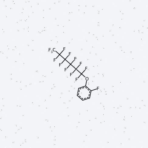 Fc1ccccc1OC(F)(F)C(F)(F)C(F)(F)C(F)(F)C(F)(F)C(F)(F)F